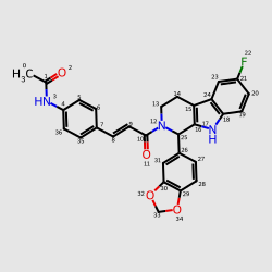 CC(=O)Nc1ccc(/C=C/C(=O)N2CCc3c([nH]c4ccc(F)cc34)C2c2ccc3c(c2)OCO3)cc1